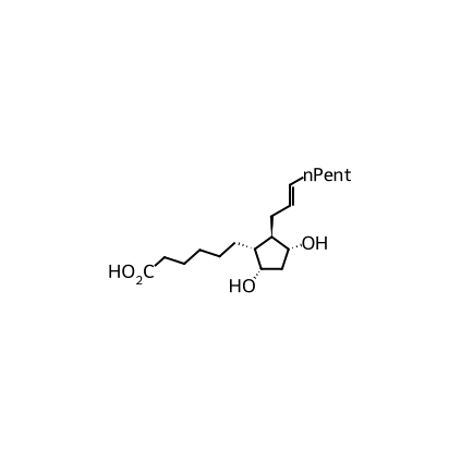 CCCCC/C=C/C[C@@H]1[C@@H](CCCCCC(=O)O)[C@@H](O)C[C@H]1O